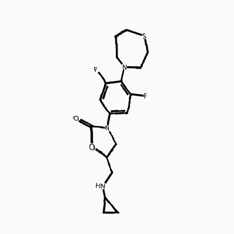 O=C1OC(CNC2CC2)CN1c1cc(F)c(N2CCCSCC2)c(F)c1